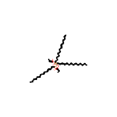 CCCCCCCCCCCCCC[SH](CCCCCCCCCCCCCC)(CCCCCCCCCCCCCC)(OC(=O)CC)OC(=O)CC